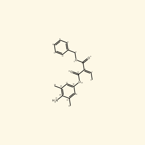 CC=C(C(=O)OCc1ccccc1)C(=O)Oc1cc(C)c(N)c(C)c1